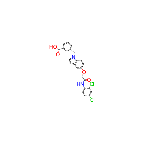 O=C(COc1ccc2c(ccn2Cc2cccc(C(=O)O)c2)c1)Nc1ccc(Cl)cc1Cl